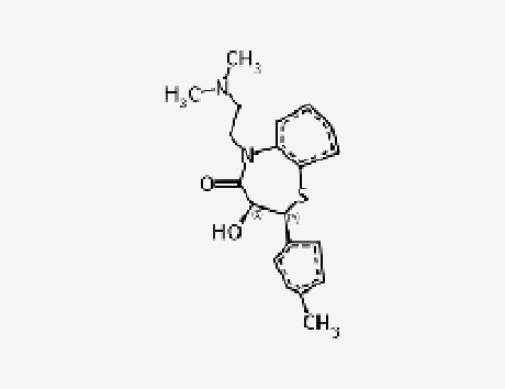 Cc1ccc([C@@H]2Sc3ccccc3N(CCN(C)C)C(=O)[C@@H]2O)cc1